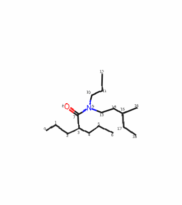 CCCC(CCC)C(=O)N(CCC)CCC(C)CC